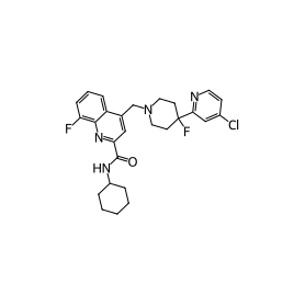 O=C(NC1CCCCC1)c1cc(CN2CCC(F)(c3cc(Cl)ccn3)CC2)c2cccc(F)c2n1